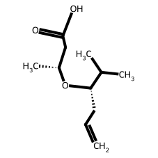 C=CC[C@H](O[C@H](C)CC(=O)O)C(C)C